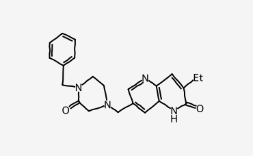 CCc1cc2ncc(CN3CCN(Cc4ccccc4)C(=O)C3)cc2[nH]c1=O